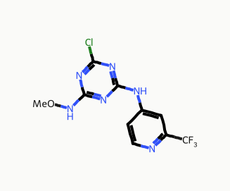 CONc1nc(Cl)nc(Nc2ccnc(C(F)(F)F)c2)n1